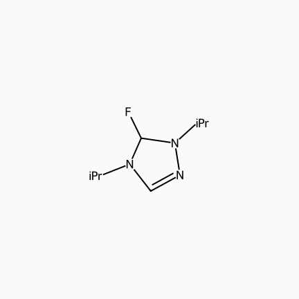 CC(C)N1C=NN(C(C)C)C1F